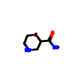 [NH]C(=O)C1CNCCS1